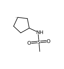 CS(=O)(=O)NC1C[CH]CC1